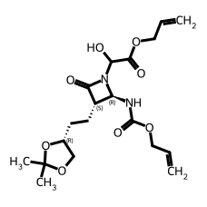 C=CCOC(=O)N[C@H]1[C@H](CC[C@@H]2COC(C)(C)O2)C(=O)N1C(O)C(=O)OCC=C